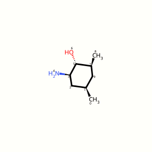 C[C@H]1C[C@@H](N)[C@H](O)[C@@H](C)C1